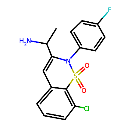 CC(N)C1=Cc2cccc(Cl)c2S(=O)(=O)N1c1ccc(F)cc1